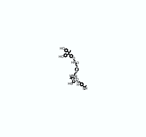 CCC(=C(c1ccc(O)cc1)c1ccc(OCCNC(=O)CCN2CCN(CCC(=O)NC(C(=O)N3C[C@H](O)C[C@H]3C(=O)NCc3ccc(-c4scnc4C)cc3)C(C)(C)C)CC2)cc1)c1ccc(O)cc1